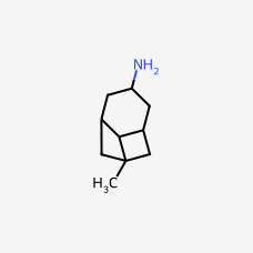 CC12CC3CC(N)CC(C1)C32